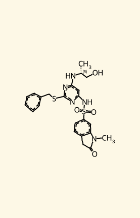 C[C@H](CO)Nc1cc(NS(=O)(=O)c2ccc3c(c2)N(C)C(=O)C3)nc(SCc2ccccc2)n1